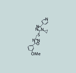 COc1cccc(-c2nc(CSc3nnc(-c4ccncc4)n3C3CC3)no2)c1